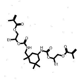 C=C(C)C(=O)OCC(CC)OC(=O)NCC1(C)CC(NC(=O)OC(CC)COC(=O)C(=C)C)CC(C)(C)C1